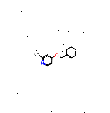 N#Cc1cc(OCC2=CC=CCC2)ccn1